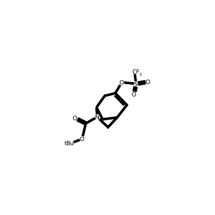 CC(C)(C)OC(=O)N1CC2C=C(OS(=O)(=O)C(F)(F)F)CC1C2